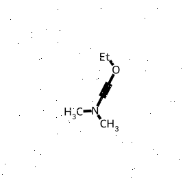 CCOC#CN(C)C